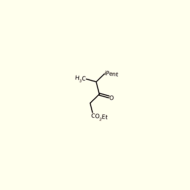 CCCC(C)C(C)C(=O)CC(=O)OCC